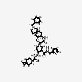 C[C@@H](NC1CCC2(CC1)CCN(Cc1ccccc1)C2)C(=O)N1CC[C@@H](CNC(=O)N2CCC3(CC2)CC3)[C@@H](C(=O)NCc2cccs2)C1